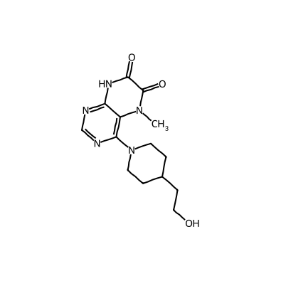 Cn1c(=O)c(=O)[nH]c2ncnc(N3CCC(CCO)CC3)c21